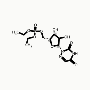 CCOP(=O)(OCC)OC[C@H]1O[C@@H](n2ncc(=O)[nH]c2=O)C(O)[C@H]1O